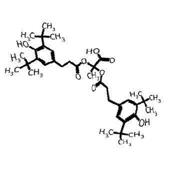 CC(OC(=O)CCc1cc(C(C)(C)C)c(O)c(C(C)(C)C)c1)(OC(=O)CCc1cc(C(C)(C)C)c(O)c(C(C)(C)C)c1)C(=O)O